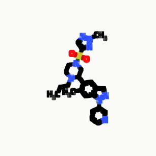 CCCN1CCN(S(=O)(=O)c2cnn(C)n2)CC1c1cc2cnn(-c3cccnc3)c2cc1C